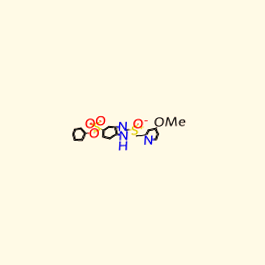 COc1ccnc(C[S+]([O-])c2nc3cc(S(=O)(=O)Oc4ccccc4)ccc3[nH]2)c1